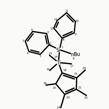 CCCC[Si](c1ccccc1)(c1ccccc1)[Ti]([CH3])([CH3])([CH3])[C]1=C(C)C(C)=C(C)C1C